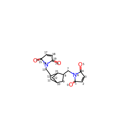 O=C1C=CC(=O)N1CC1CC2CC(CN3C(=O)C=CC3=O)C1C2